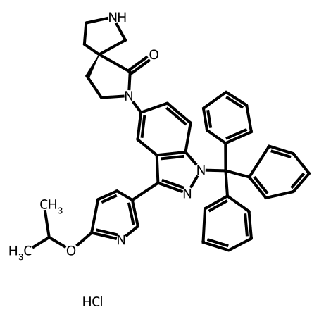 CC(C)Oc1ccc(-c2nn(C(c3ccccc3)(c3ccccc3)c3ccccc3)c3ccc(N4CC[C@]5(CCNC5)C4=O)cc23)cn1.Cl